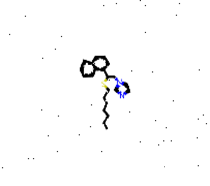 CCCCCCCSC(Cn1ccnc1)c1cccc2ccccc12